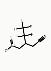 N#CCC(C[N+](=O)[O-])C(F)(F)C(F)(F)F